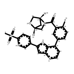 CS(=O)(=O)c1ccc(-c2cc3nccc(-c4ccc(F)c(C(=O)N5C[C@H]6C[C@@H]5CO6)c4)c3o2)cn1